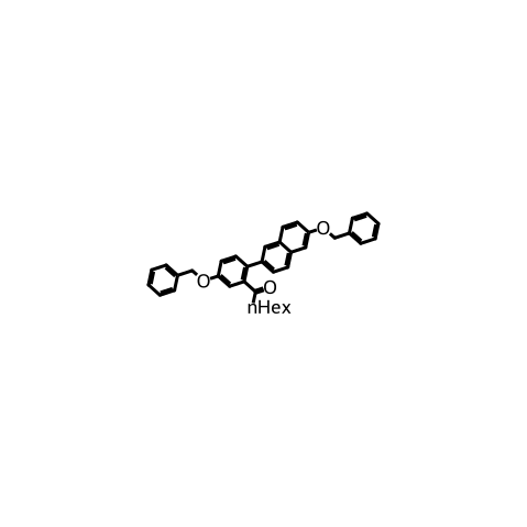 CCCCCCC(=O)c1cc(OCc2ccccc2)ccc1-c1ccc2cc(OCc3ccccc3)ccc2c1